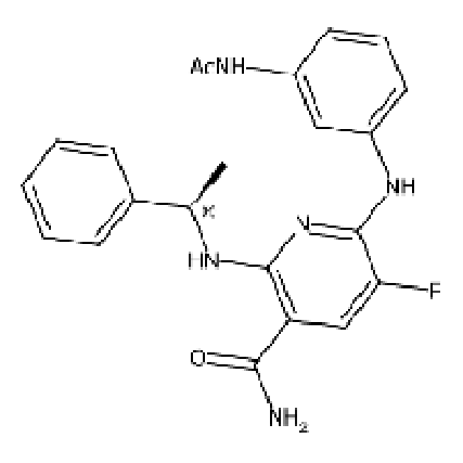 CC(=O)Nc1cccc(Nc2nc(N[C@H](C)c3ccccc3)c(C(N)=O)cc2F)c1